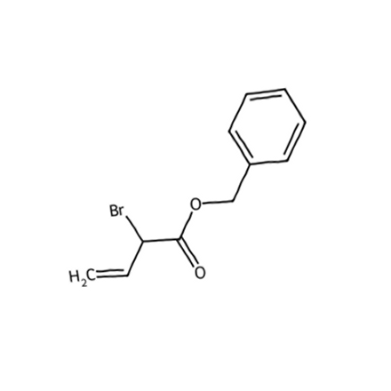 C=CC(Br)C(=O)OCc1ccccc1